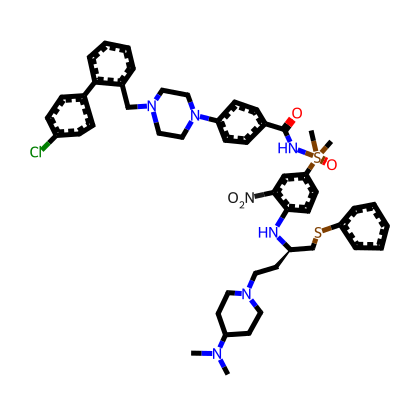 CN(C)C1CCN(CC[C@H](CSc2ccccc2)Nc2ccc(S(C)(C)(=O)NC(=O)c3ccc(N4CCN(Cc5ccccc5-c5ccc(Cl)cc5)CC4)cc3)cc2[N+](=O)[O-])CC1